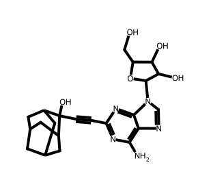 Nc1nc(C#CC2(O)C3CC4CC(C3)CC2C4)nc2c1ncn2C1OC(CO)C(O)C1O